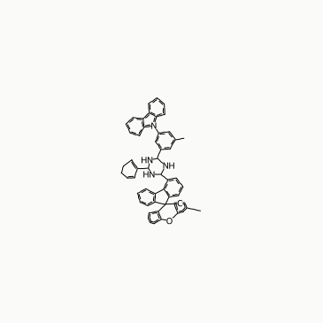 Cc1cc(C2NC(C3=CCCC=C3)NC(c3cccc4c3-c3ccccc3C43c4ccccc4Oc4cc(C)ccc43)N2)cc(-n2c3ccccc3c3ccccc32)c1